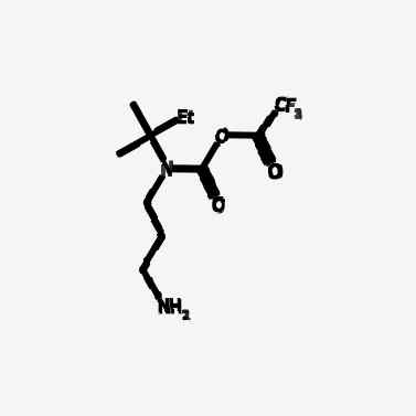 CCC(C)(C)N(CCCN)C(=O)OC(=O)C(F)(F)F